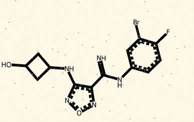 N=C(Nc1ccc(F)c(Br)c1)c1nonc1NC1CC(O)C1